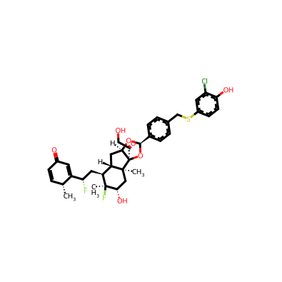 C[C@@H]1C=CC(=O)C=C1[C@@H](F)C[C@H]1[C@@H]2C[C@H]3O[C@@H](c4ccc(CSc5ccc(O)c(Cl)c5)cc4)O[C@@]3(C(=O)CO)[C@@]2(C)C[C@H](O)[C@@]1(C)F